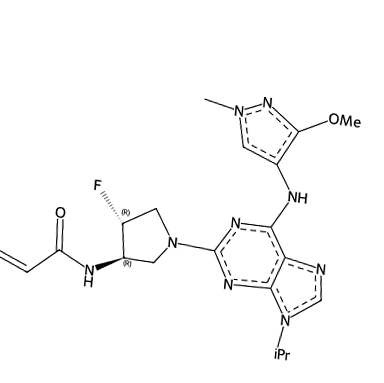 C=CC(=O)N[C@@H]1CN(c2nc(Nc3cn(C)nc3OC)c3ncn(C(C)C)c3n2)C[C@H]1F